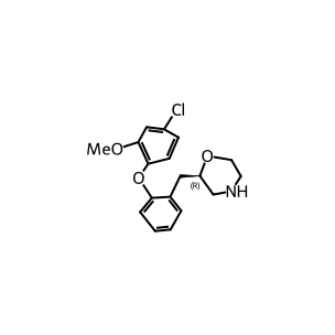 COc1cc(Cl)ccc1Oc1ccccc1C[C@@H]1CNCCO1